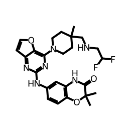 CC1(CNCC(F)F)CCN(c2nc(Nc3ccc4c(c3)NC(=O)C(C)(C)O4)nc3ccoc23)CC1